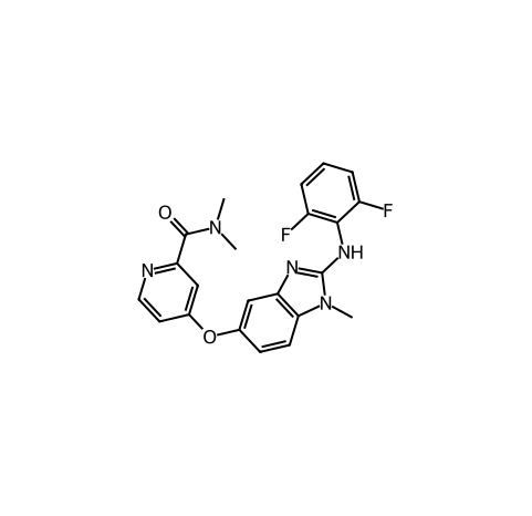 CN(C)C(=O)c1cc(Oc2ccc3c(c2)nc(Nc2c(F)cccc2F)n3C)ccn1